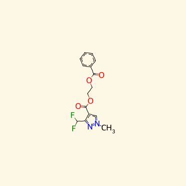 Cn1cc(C(=O)OCCOC(=O)c2ccccc2)c(C(F)F)n1